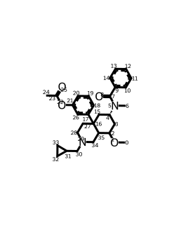 COC1C[C@@H](N(C)C(=O)c2ccccc2)CC2(c3cccc(OC(C)=O)c3)CCN(CC3CC3)CC12